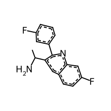 CC(N)c1cc2ccc(F)cc2nc1-c1cccc(F)c1